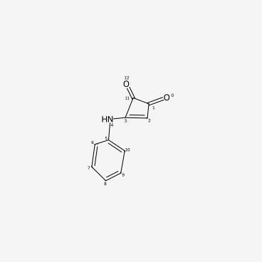 O=c1cc(Nc2[c]cccc2)c1=O